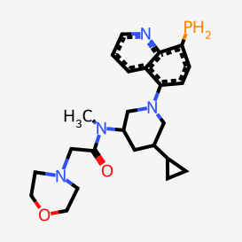 CN(C(=O)CN1CCOCC1)C1CC(C2CC2)CN(c2ccc(P)c3ncccc23)C1